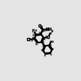 COc1c(-c2ccccc2C)cc(Cl)c(F)c1C(N)=O